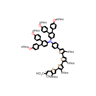 CCCCCCOc1ccc(-c2ccc(N(c3ccc(-c4cc(CCCCCC)c(-c5cc(CCCCCC)c(-c6cc(CCCCCC)c(-c7cc(CCCCCC)c(/C=C(\C#N)C(=O)O)s7)s6)s5)s4)cc3)c3ccc(-c4ccc(OCCCCCC)cc4)c(-c4ccc(OCCCCCC)cc4)c3)cc2-c2ccc(OCCCCCC)cc2)cc1